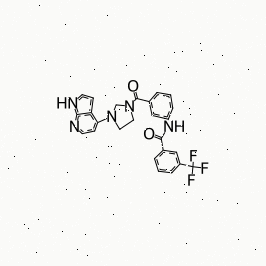 O=C(Nc1cccc(C(=O)N2CCN(c3ccnc4[nH]ccc34)C2)c1)c1cccc(C(F)(F)F)c1